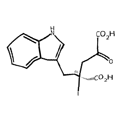 O=C(O)C(=O)C[C@@](I)(Cc1c[nH]c2ccccc12)C(=O)O